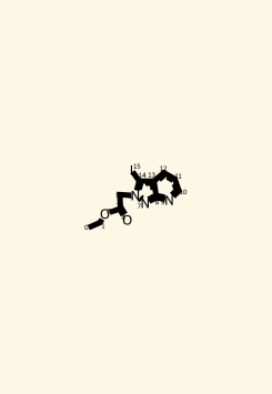 CCOC(=O)Cn1nc2ncccc2c1I